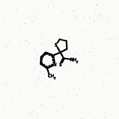 Cc1cccc(C2(C(N)=S)CCCS2)n1